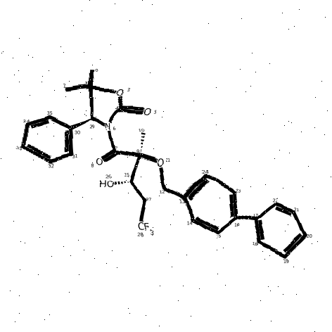 CC1(C)OC(=O)N(C(=O)[C@@](C)(OCc2ccc(-c3ccccc3)cc2)[C@@H](O)CC(F)(F)F)[C@H]1c1ccccc1